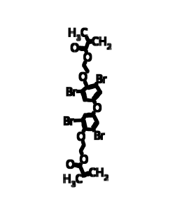 C=C(C)C(=O)OCCOc1c(Br)cc(Oc2cc(Br)c(OCCOC(=O)C(=C)C)c(Br)c2)cc1Br